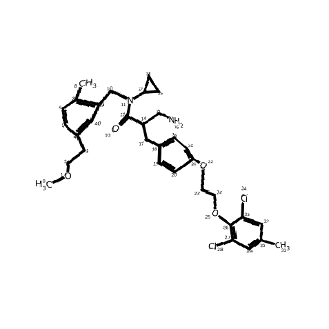 COCCc1ccc(C)c(CN(C(=O)C(CN)Cc2ccc(OCCOc3c(Cl)cc(C)cc3Cl)cc2)C2CC2)c1